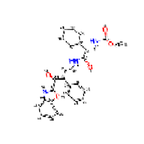 CC(C)(C)OC(=O)NCC(C(=O)NCCC(C(=O)c1nc2ccccc2o1)c1ccccc1)C1CCCCC1